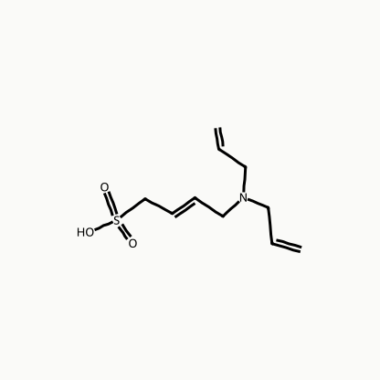 C=CCN(CC=C)CC=CCS(=O)(=O)O